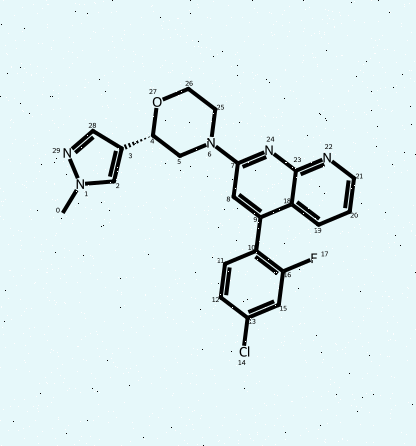 Cn1cc([C@H]2CN(c3cc(-c4ccc(Cl)cc4F)c4cccnc4n3)CCO2)cn1